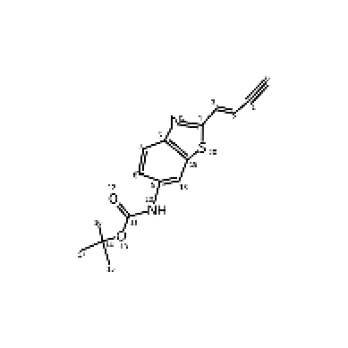 C#CC=Cc1nc2ccc(NC(=O)OC(C)(C)C)cc2s1